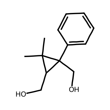 CC1(C)C(CO)C1(CO)c1ccccc1